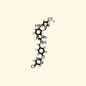 Cn1nc(C(F)(F)F)cc1Nc1ccc2nc(NCc3ccc(Oc4ncc(Cl)cn4)cc3)n(C)c2c1